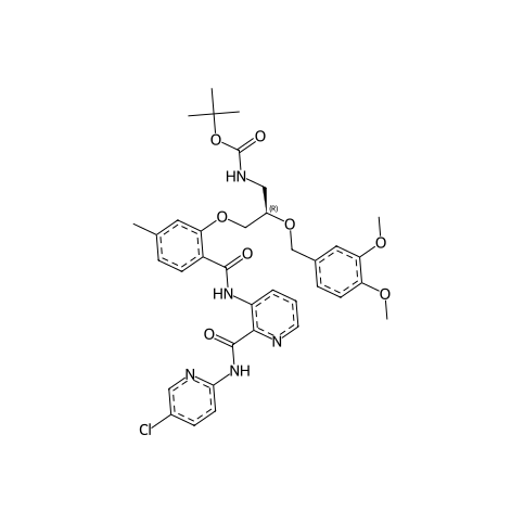 COc1ccc(CO[C@H](CNC(=O)OC(C)(C)C)COc2cc(C)ccc2C(=O)Nc2cccnc2C(=O)Nc2ccc(Cl)cn2)cc1OC